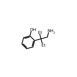 CCC(CC)(CN)c1ccccc1O